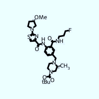 CO[C@H]1CCN(c2nc(C(=O)Nc3ccc(CN4CCN(C(=O)OC(C)(C)C)C[C@@H]4C)cc3C(=O)NCCCF)cs2)C1